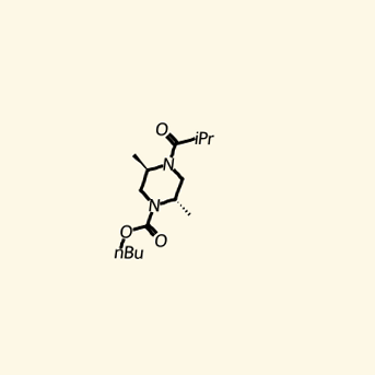 CCCCOC(=O)N1C[C@@H](C)N(C(=O)C(C)C)C[C@@H]1C